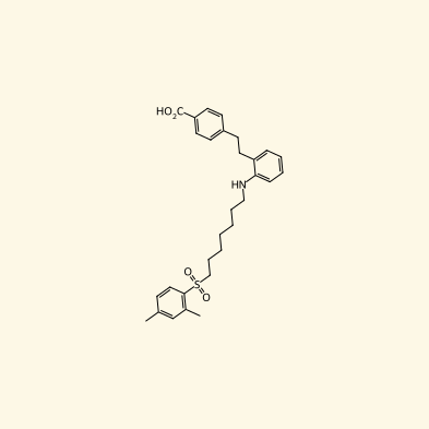 Cc1ccc(S(=O)(=O)CCCCCCCNc2ccccc2CCc2ccc(C(=O)O)cc2)c(C)c1